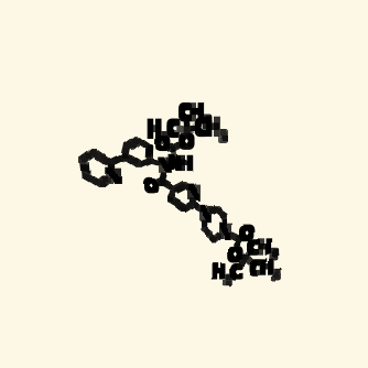 CC(C)(C)OC(=O)NN(C(=O)c1ccc(N2CCN(C(=O)OC(C)(C)C)CC2)nc1)c1cccc(-c2ccccn2)c1